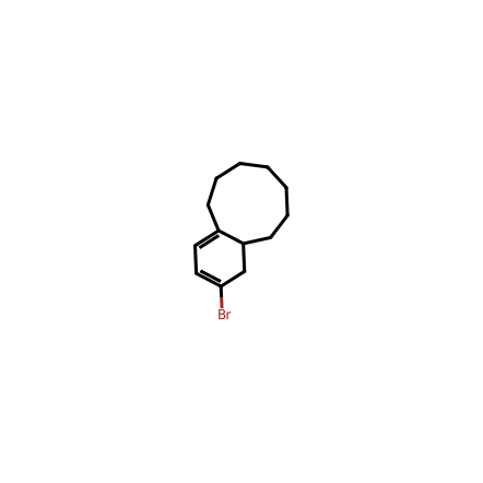 BrC1=CC=C2CCCCCCCC2C1